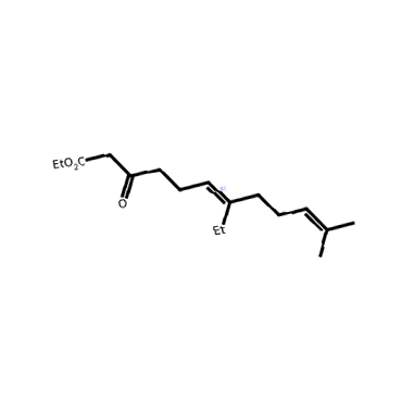 CCOC(=O)CC(=O)CC/C=C(\CC)CCC=C(C)C